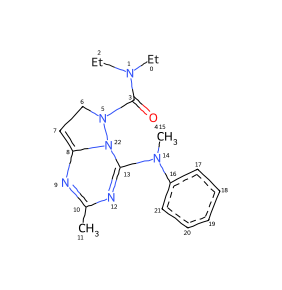 CCN(CC)C(=O)N1CC=C2N=C(C)N=C(N(C)c3ccccc3)N21